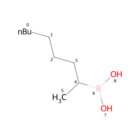 CCCCCCCC(C)B(O)O